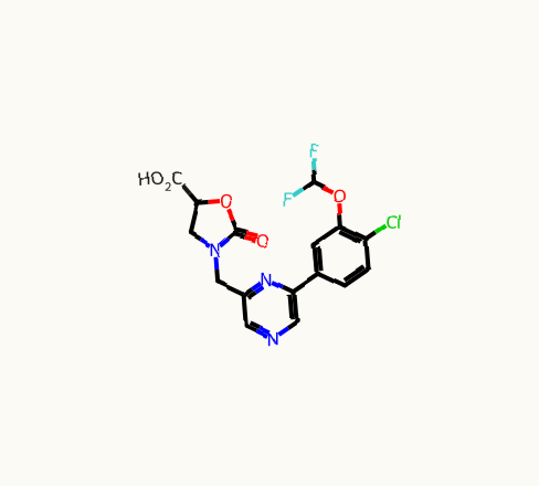 O=C(O)C1CN(Cc2cncc(-c3ccc(Cl)c(OC(F)F)c3)n2)C(=O)O1